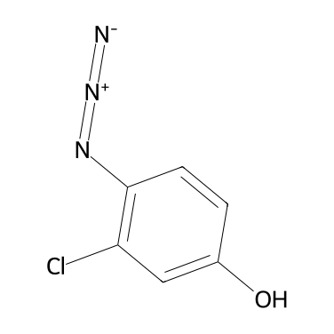 [N-]=[N+]=Nc1ccc(O)cc1Cl